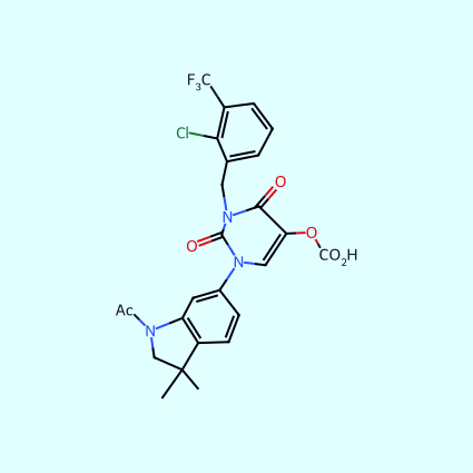 CC(=O)N1CC(C)(C)c2ccc(-n3cc(OC(=O)O)c(=O)n(Cc4cccc(C(F)(F)F)c4Cl)c3=O)cc21